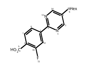 CCCCCCc1cnc(-c2ccc(C(=O)O)c(F)c2)nc1